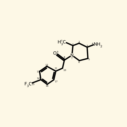 CC1CC(N)CCN1C(=O)Cc1ccc(C(F)(F)F)cc1